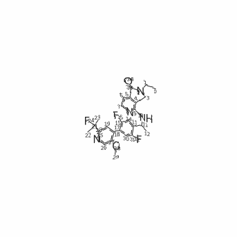 CCN1Cc2c(ccnc2NC(C)c2cc(F)c(-c3cc(C(C)(C)F)ncc3OC)cc2F)C1=O